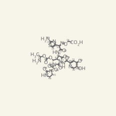 CC(N)OC(=O)OCC1[C@H](NC(=O)/C(=N\OCC(=O)O)c2csc(N)n2)C(=O)[N@+]1(NC(=O)C1=CC(=O)C(O)C=N1)C(=O)NS(=O)(=O)N1CCNC1=O